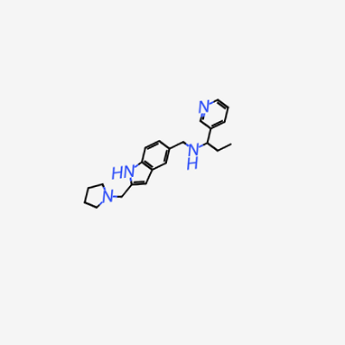 CCC(NCc1ccc2[nH]c(CN3CCCC3)cc2c1)c1cccnc1